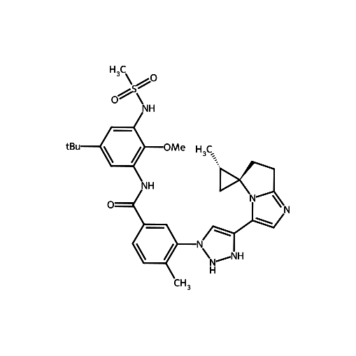 COc1c(NC(=O)c2ccc(C)c(N3C=C(c4cnc5n4[C@]4(CC5)C[C@@H]4C)NN3)c2)cc(C(C)(C)C)cc1NS(C)(=O)=O